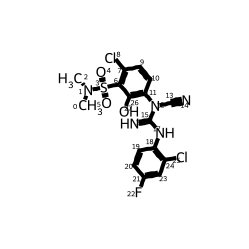 CN(C)S(=O)(=O)c1c(Cl)ccc(N(C#N)C(=N)Nc2ccc(F)cc2Cl)c1O